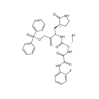 CC(C)C[C@H](NC(=O)C(=O)Nc1ccccc1F)C(=O)NC(C[C@@H]1CCNC1=O)C(=O)COP(=O)(c1ccccc1)c1ccccc1